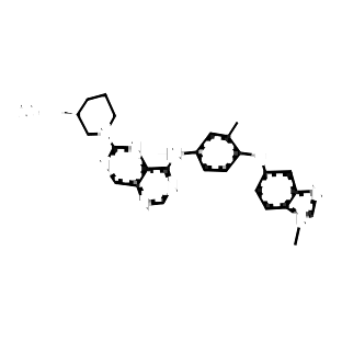 CO[C@H]1CCCN(c2ncc3ncnc(Nc4ccc(Oc5ccc6c(c5)ncn6C)c(C)c4)c3n2)C1